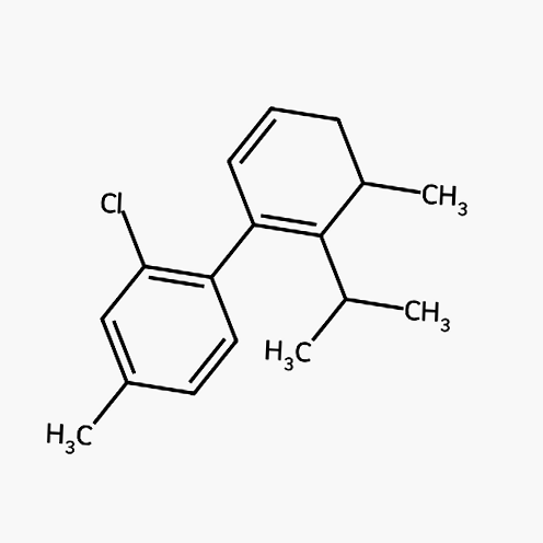 Cc1ccc(C2=C(C(C)C)C(C)CC=C2)c(Cl)c1